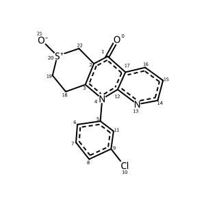 O=c1c2c(n(-c3cccc(Cl)c3)c3ncccc13)CC[S+]([O-])C2